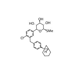 CS[C@H]1OC(c2ccc(Cl)c(Cc3ccc([C@]45CCCC[C@H]4C5)cc3)c2)[C@H](O)[C@@H](O)[C@@H]1O